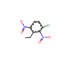 CCc1c([N+](=O)[O-])ccc(Cl)c1[N+](=O)[O-]